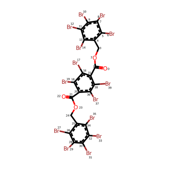 O=C(OCc1c(Br)c(Br)c(Br)c(Br)c1Br)c1c(Br)c(Br)c(C(=O)OCc2c(Br)c(Br)c(Br)c(Br)c2Br)c(Br)c1Br